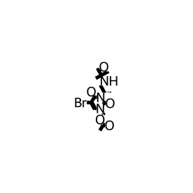 CC(=O)OCn1cc(Br)c(=O)n([C@@H](C)CNC2(C)COC2)c1=O